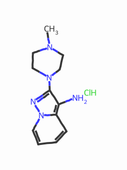 CN1CCN(c2nn3ccccc3c2N)CC1.Cl